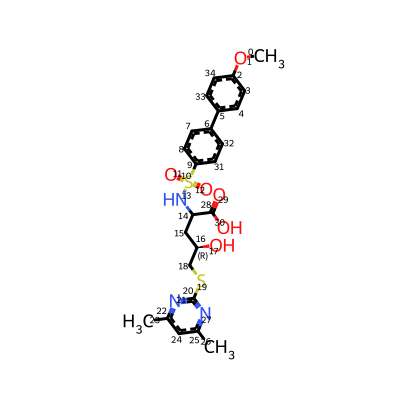 COc1ccc(-c2ccc(S(=O)(=O)NC(C[C@@H](O)CSc3nc(C)cc(C)n3)C(=O)O)cc2)cc1